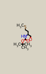 CSCCC(C=O)NC(=O)OC(C)(C)C